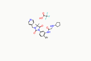 CC(C)c1ccc(N2C(=O)N(Cc3ccncc3)C(C)(C)C2=O)cc1NC(=O)CNC1CCCC1.O=C(O)C(F)(F)F